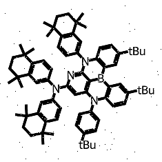 CC(C)(C)c1ccc(N2c3ccc(C(C)(C)C)cc3B3c4cc(C(C)(C)C)ccc4N(c4ccc5c(c4)C(C)(C)CCC5(C)C)c4nc(N(c5ccc6c(c5)C(C)(C)CCC6(C)C)c5ccc6c(c5)C(C)(C)CCC6(C)C)cc2c43)cc1